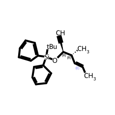 C#C[C@H](O[Si](c1ccccc1)(c1ccccc1)C(C)(C)C)[C@H](C)/C=C/C